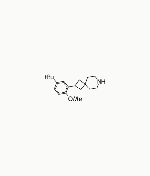 COc1ccc(C(C)(C)C)cc1C1CC2(CCNCC2)C1